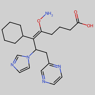 NO/C(CCCC(=O)O)=C(\C1CCCCC1)C(Cc1cnccn1)n1ccnc1